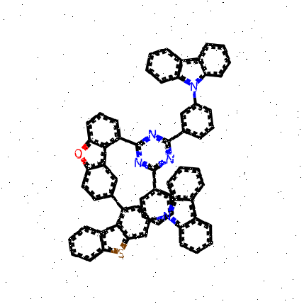 c1ccc(-c2nc(-c3cccc(-n4c5ccccc5c5ccccc54)c3)nc(-c3cccc4oc5ccc(-c6cc(-n7c8ccccc8c8ccccc87)cc7sc8ccccc8c67)cc5c34)n2)cc1